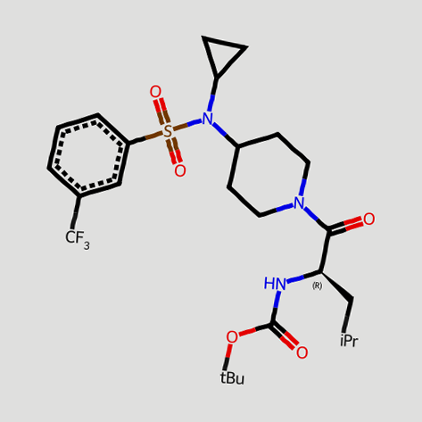 CC(C)C[C@@H](NC(=O)OC(C)(C)C)C(=O)N1CCC(N(C2CC2)S(=O)(=O)c2cccc(C(F)(F)F)c2)CC1